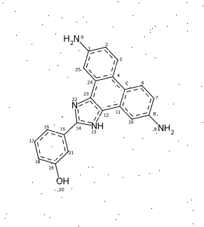 Nc1ccc2c3ccc(N)cc3c3[nH]c(-c4cccc(O)c4)nc3c2c1